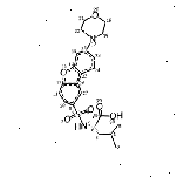 CC(C)C[C@H](NS(=O)(=O)c1ccc2oc3cc(N4CCOCC4)ccc3c2c1)C(=O)O